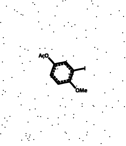 COc1ccc(OC(C)=O)cc1I